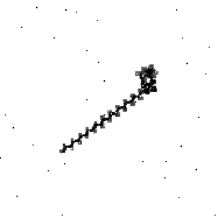 CCCCCCCCC=CCCCCCCCCCCCCOP1(=O)OC2CC[N+](C)(C)C(C2)O1